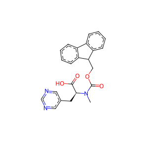 CN(C(=O)OCC1c2ccccc2-c2ccccc21)[C@@H](Cc1cncnc1)C(=O)O